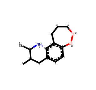 CCC(N)C(C)Cc1ccc2c(c1)CCCOO2